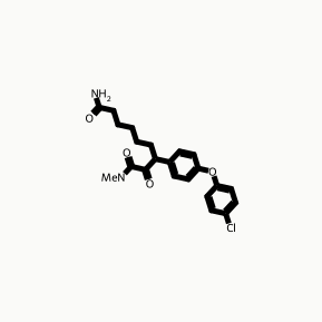 CNC(=O)C(=O)C(CCCCCC(N)=O)c1ccc(Oc2ccc(Cl)cc2)cc1